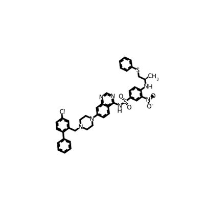 C[C@H](CSc1ccccc1)Nc1ccc(S(=O)(=O)Nc2ncnc3cc(N4CCN(Cc5cc(Cl)ccc5-c5ccccc5)CC4)ccc23)cc1[N+](=O)[O-]